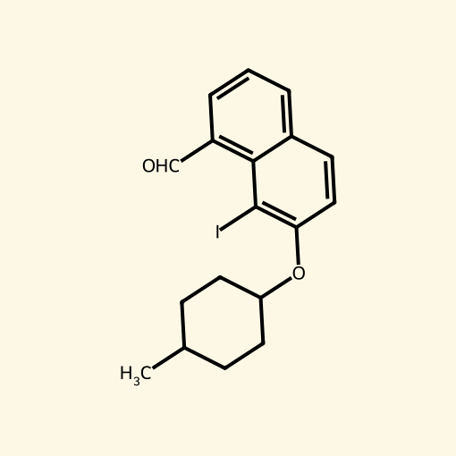 CC1CCC(Oc2ccc3cccc(C=O)c3c2I)CC1